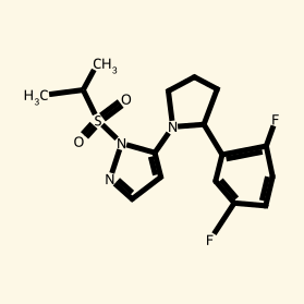 CC(C)S(=O)(=O)n1nccc1N1CCCC1c1cc(F)ccc1F